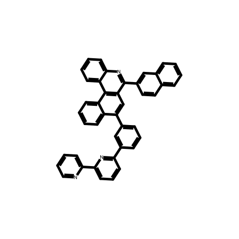 c1ccc(-c2cccc(-c3cccc(-c4cc5c(-c6ccc7ccccc7c6)nc6ccccc6c5c5ccccc45)c3)n2)nc1